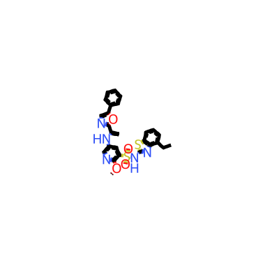 C=C(Nc1cnc(OC)c(S(=O)(=O)Nc2nc3c(CC)cccc3s2)c1)c1ncc(-c2ccccc2)o1